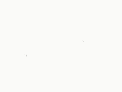 O=C(c1cccc(OCCC2CCCCN2)c1)N(c1ccccc1)c1ccc(O)cc1